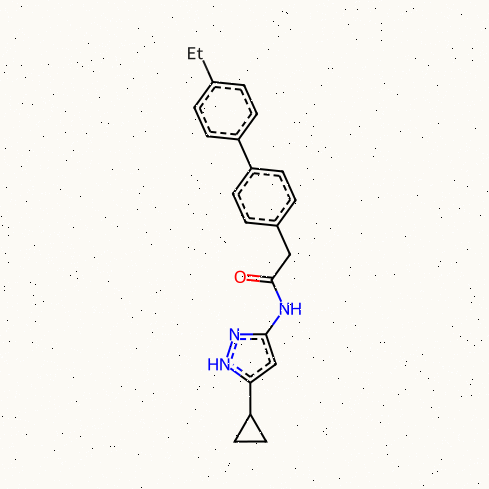 CCc1ccc(-c2ccc(CC(=O)Nc3cc(C4CC4)[nH]n3)cc2)cc1